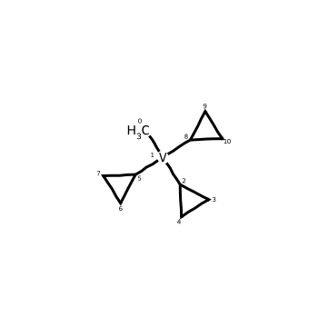 [CH3][V]([CH]1CC1)([CH]1CC1)[CH]1CC1